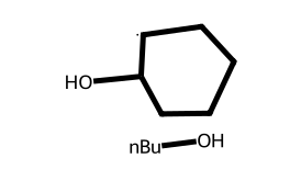 OC1[CH]CCCC1.[CH2]CCCO